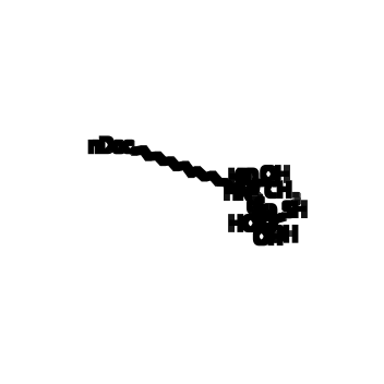 CCCCCCCCCCCCCCCCCCCCCCCCCC(=O)N[C@@H](CO[C@H]1OC(CS)[C@H](O)C(O)C1O)[C@H](O)[C@@H](C)O